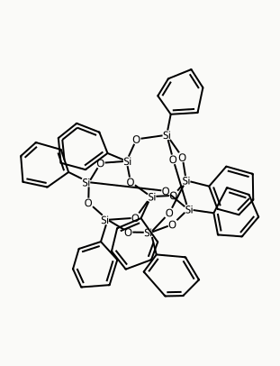 C1=C=CC([Si]23O[Si]4(c5ccccc5)O[Si]5(c6ccccc6)O[Si](c6ccccc6)(O2)O[Si]2(c6ccccc6)O[Si](c6ccccc6)(O3)O[Si](c3ccccc3)(O4)O[Si](c3ccccc3)(O5)O2)=CC=1